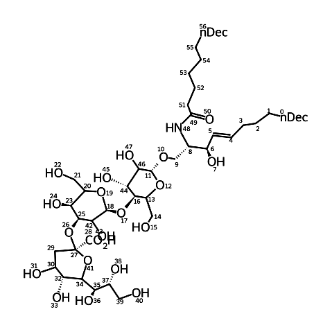 CCCCCCCCCCCCC/C=C/[C@@H](O)[C@H](CO[C@@H]1OC(CO)[C@@H](O[C@@H]2OC(CO)[C@H](O)[C@H](O[C@]3(C(=O)O)CC(O)[C@@H](O)C([C@H](O)[C@H](O)CO)O3)C2O)[C@H](O)C1O)NC(=O)CCCCCCCCCCCCCCC